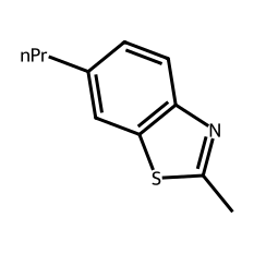 CCCc1ccc2nc(C)sc2c1